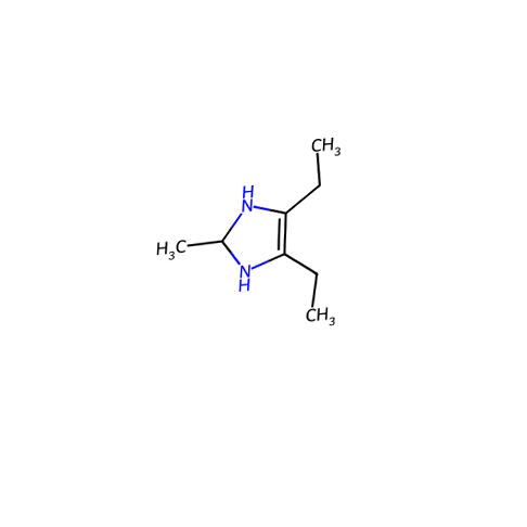 CCC1=C(CC)NC(C)N1